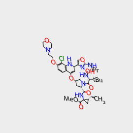 C=C[C@@H]1CC1(NC(=O)[C@@H]1C[C@@H](OC2=CC(c3coc(NC(C)C)n3)Nc3c2ccc(OCCN2CCOCC2)c3Cl)CN1C(=O)[C@@H](NO)C(C)(C)C)C(=O)OC